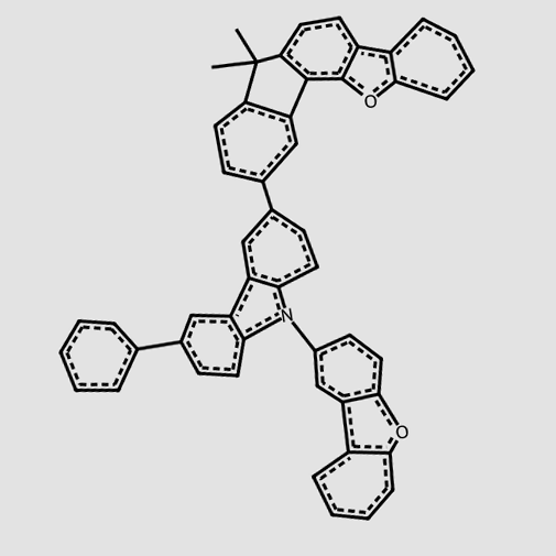 CC1(C)c2ccc(-c3ccc4c(c3)c3cc(-c5ccccc5)ccc3n4-c3ccc4oc5ccccc5c4c3)cc2-c2c1ccc1c2oc2ccccc21